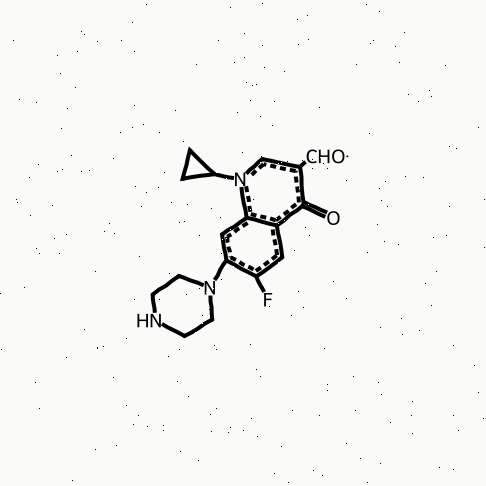 O=[C]c1cn(C2CC2)c2cc(N3CCNCC3)c(F)cc2c1=O